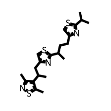 Cc1nsc(C)c1C(C)Cc1csc(C(C)CCc2csc(C(C)C)n2)n1